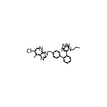 CCCn1nnnc1-c1ccccc1-c1ccc(Cn2cnc3c(C)c(Cl)cnc32)cc1